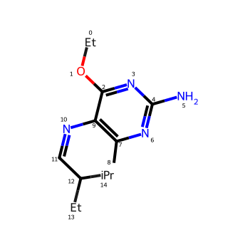 CCOc1nc(N)nc(C)c1/N=C\C(CC)C(C)C